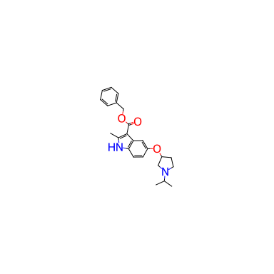 Cc1[nH]c2ccc(OC3CCN(C(C)C)C3)cc2c1C(=O)OCc1ccccc1